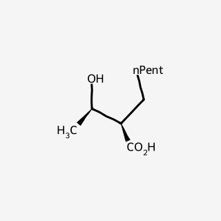 CCCCCC[C@@H](C(=O)O)[C@@H](C)O